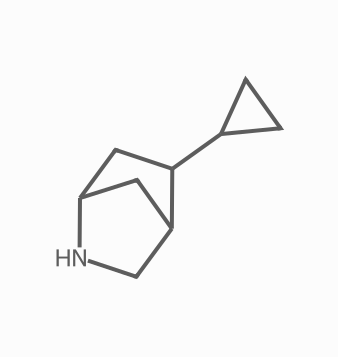 C1CC1C1CC2CC1CN2